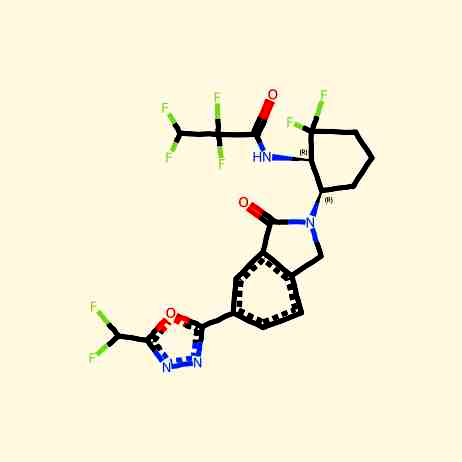 O=C1c2cc(-c3nnc(C(F)F)o3)ccc2CN1[C@@H]1CCCC(F)(F)[C@@H]1NC(=O)C(F)(F)C(F)F